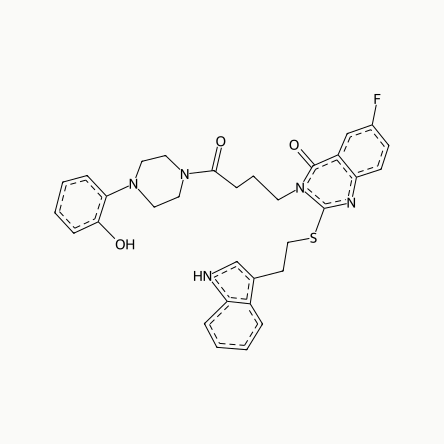 O=C(CCCn1c(SCCc2c[nH]c3ccccc23)nc2ccc(F)cc2c1=O)N1CCN(c2ccccc2O)CC1